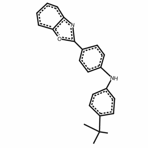 CC(C)(C)c1ccc(Nc2ccc(-c3nc4ccccc4o3)cc2)cc1